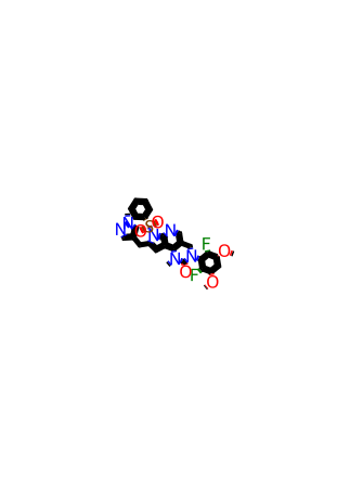 COc1cc(OC)c(F)c(N2Cc3cnc4c(cc(Cc5cnn(C)c5)n4S(=O)(=O)c4ccccc4)c3N(C)C2=O)c1F